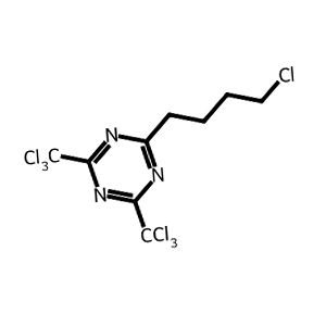 ClCCCCc1nc(C(Cl)(Cl)Cl)nc(C(Cl)(Cl)Cl)n1